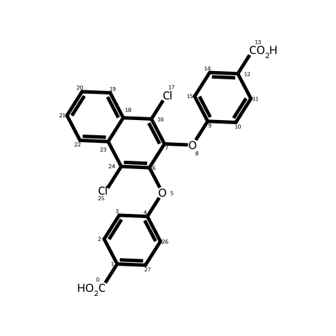 O=C(O)c1ccc(Oc2c(Oc3ccc(C(=O)O)cc3)c(Cl)c3ccccc3c2Cl)cc1